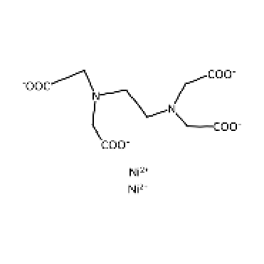 O=C([O-])CN(CCN(CC(=O)[O-])CC(=O)[O-])CC(=O)[O-].[Ni+2].[Ni+2]